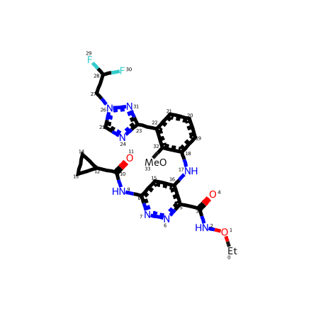 CCONC(=O)c1nnc(NC(=O)C2CC2)cc1Nc1cccc(-c2ncn(CC(F)F)n2)c1OC